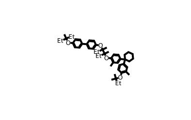 CCC(C)(C)Oc1ccc(C2(c3ccc(OC(C)(CC)C(C)(CC)Oc4ccc(-c5ccc(OC(C)(CC)CC)cc5)cc4)c(C)c3)CCCCC2)cc1C